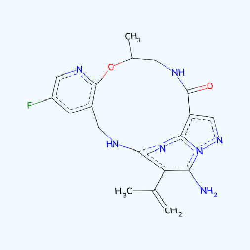 C=C(C)c1c2nc3c(cnn3c1N)C(=O)NCC(C)Oc1ncc(F)cc1CN2